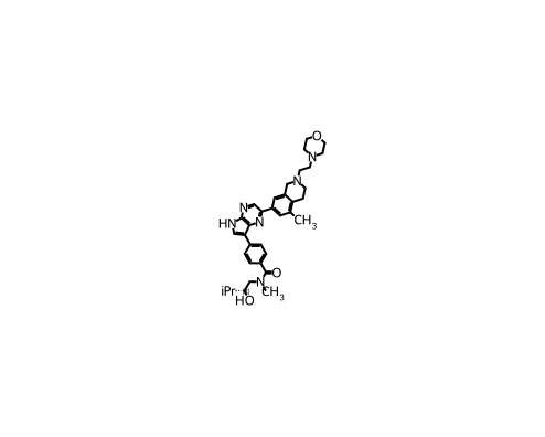 Cc1cc(-c2cnc3[nH]cc(-c4ccc(C(=O)N(C)C[C@H](O)C(C)C)cc4)c3n2)cc2c1CCN(CCN1CCOCC1)C2